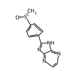 C[S+]([O-])c1ccc(-c2nc3nccnc3[nH]2)cc1